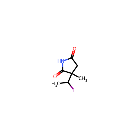 CC(I)C1(C)CC(=O)NC1=O